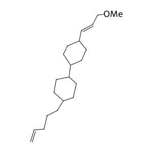 C=CCCCC1CCC(C2CCC(/C=C/COC)CC2)CC1